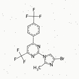 Cc1nc(Br)cn1-c1nc(-c2ccc(C(F)(F)F)cc2)cc(C(F)(F)F)n1